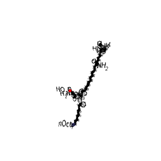 CCCCCCCC/C=C\CCCCCCCC(=O)OC[C@H](COP(=O)(O)OC[C@H](N)C(=O)O)OC(=O)CCCCCCCCCCC(N)C(=O)CCCC[C@@H]1SC[C@@H]2NC(=O)N[C@@H]21